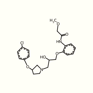 COCC(=O)Nc1ccccc1OCC(O)CN1CCC(Oc2ccc(Cl)cc2)C1